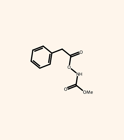 COC(=O)NOC(=O)Cc1ccccc1